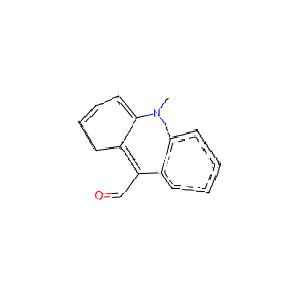 CN1C2=CC=CCC2=C(C=O)c2ccccc21